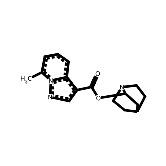 Cc1cccc2c(C(=O)OC3CC4CCN3CC4)cnn12